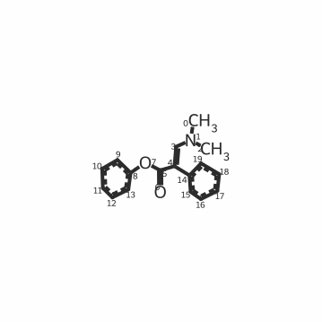 CN(C)C=C(C(=O)Oc1ccccc1)c1ccccc1